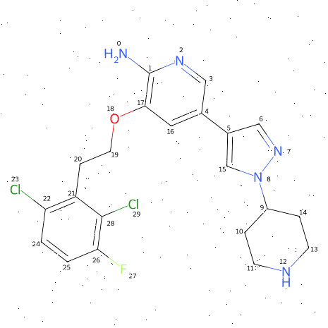 Nc1ncc(-c2cnn(C3CCNCC3)c2)cc1OCCc1c(Cl)ccc(F)c1Cl